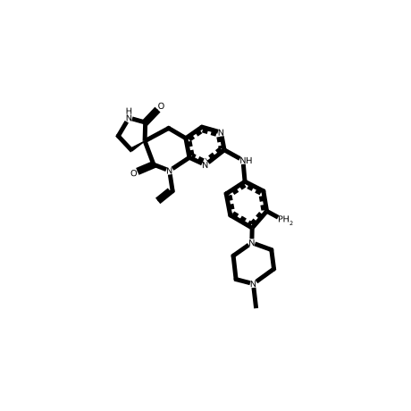 C=CN1C(=O)[C@@]2(CCNC2=O)Cc2cnc(Nc3ccc(N4CCN(C)CC4)c(P)c3)nc21